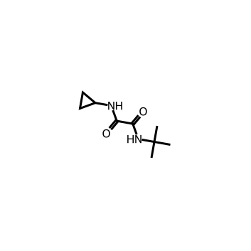 CC(C)(C)NC(=O)C(=O)NC1CC1